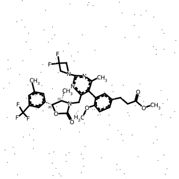 COC(=O)CCc1ccc(OC)c(-c2c(C)nc(N3CC(F)(F)C3)nc2CN2C(=O)O[C@H](c3cc(C)cc(C(F)(F)F)c3)[C@@H]2C)c1